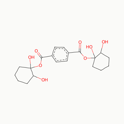 O=C(OC1(O)CCCCC1O)c1ccc(C(=O)OC2(O)CCCCC2O)cc1